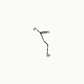 [CH2]C(C)C(=O)CCCCC